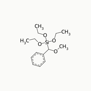 CCO[Si](OCC)(OCC)C(OC)c1ccccc1